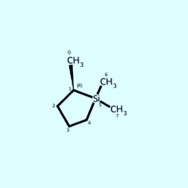 C[C@@H]1CCC[Si]1(C)C